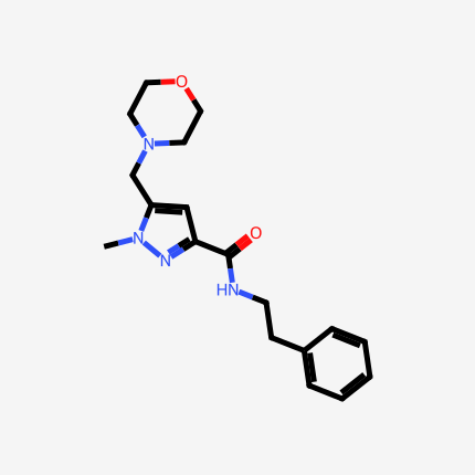 Cn1nc(C(=O)NCCc2ccccc2)cc1CN1CCOCC1